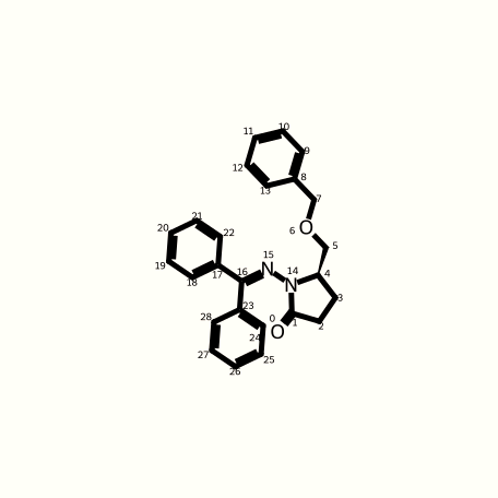 O=C1CC[C@H](COCc2ccccc2)N1N=C(c1ccccc1)c1ccccc1